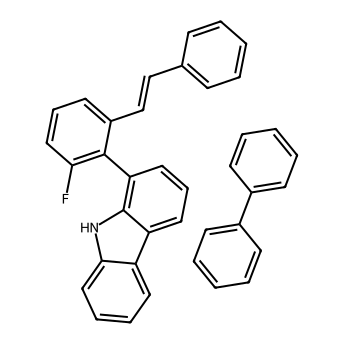 Fc1cccc(C=Cc2ccccc2)c1-c1cccc2c1[nH]c1ccccc12.c1ccc(-c2ccccc2)cc1